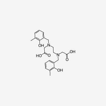 Cc1cccc(CN(CCN(CC(=O)O)Cc2cccc(C)c2O)CC(=O)O)c1O